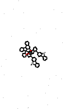 Cn1c2ccccc2c2ccc(-c3cccc4c(-c5cc6ccccc6c6c5C5(c7ccccc7-c7ccccc75)c5ccccc5-6)c5cccc(-c6ccc7c8ccccc8n(C)c7c6)c5cc34)cc21